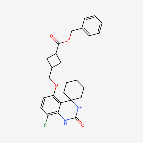 O=C1Nc2c(Cl)ccc(OCC3CC(C(=O)OCc4ccccc4)C3)c2C2(CCCCC2)N1